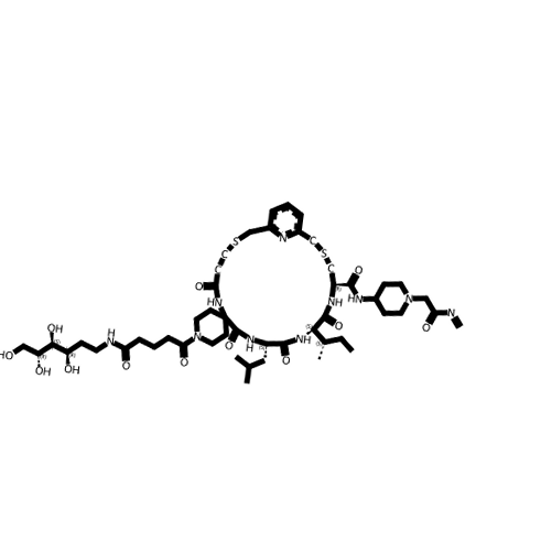 C=NC(=O)CN1CCC(NC(=O)[C@@H]2CSCc3cccc(n3)CSCCC(=O)NC3(CCN(C(=O)CCCC(=O)NCC[C@@H](O)[C@H](O)[C@H](O)CO)CC3)C(=O)N[C@@H](CC(C)C)C(=O)N[C@@H]([C@@H](C)CC)C(=O)N2)CC1